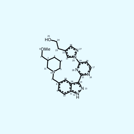 COCC1CCCN(Cc2ccc3[nH]nc(-c4nccc(-n5cc(CCO)cn5)n4)c3c2)C1